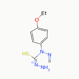 C=NN(/C(S)=N\N)c1ccc(OCC)cc1